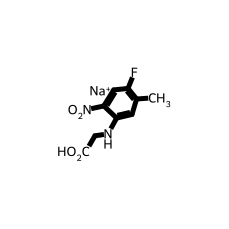 Cc1cc(NCC(=O)O)c([N+](=O)[O-])cc1F.[Na+]